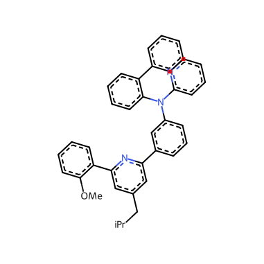 COc1ccccc1-c1cc(CC(C)C)cc(-c2cccc(N(c3ccccn3)c3ccccc3-c3ccccc3)c2)n1